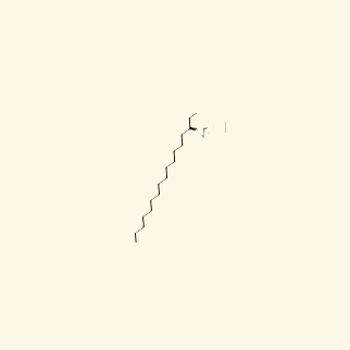 CCCCCCCCCCCCCCC(CC)=NO